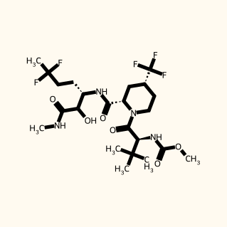 CNC(=O)C(O)[C@H](CCC(C)(F)F)NC(=O)[C@@H]1C[C@H](C(F)(F)F)CCN1C(=O)[C@@H](NC(=O)OC)C(C)(C)C